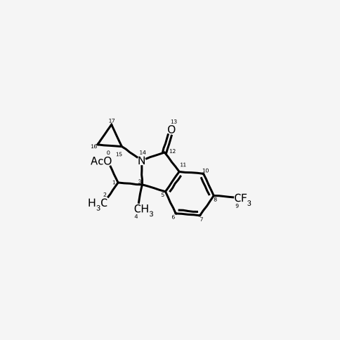 CC(=O)OC(C)C1(C)c2ccc(C(F)(F)F)cc2C(=O)N1C1CC1